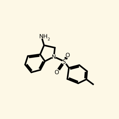 Cc1ccc(S(=O)(=O)N2CC(N)c3ccccc32)cc1